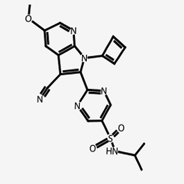 COc1cnc2c(c1)c(C#N)c(-c1ncc(S(=O)(=O)NC(C)C)cn1)n2C1=CC=C1